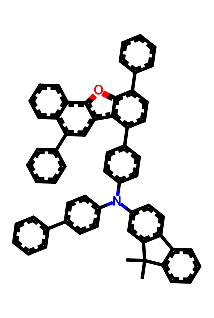 CC1(C)c2ccccc2-c2ccc(N(c3ccc(-c4ccccc4)cc3)c3ccc(-c4ccc(-c5ccccc5)c5oc6c7ccccc7c(-c7ccccc7)cc6c45)cc3)cc21